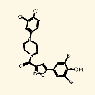 O=C(c1cc(-c2cc(Br)c(O)c(Br)c2)on1)N1CCN(c2ccc(Cl)c(Cl)c2)CC1